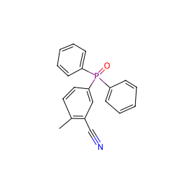 Cc1ccc(P(=O)(c2ccccc2)c2ccccc2)cc1C#N